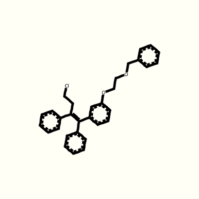 ClCCC(=C(c1ccccc1)c1cccc(OCCOCc2ccccc2)c1)c1ccccc1